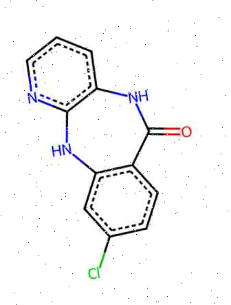 O=C1Nc2cccnc2Nc2cc(Cl)ccc21